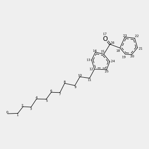 CCCCCCCCCCCCc1ccc(C(=O)c2ccccc2)cc1